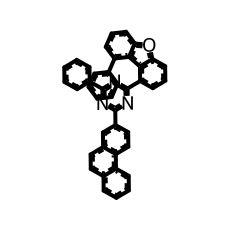 c1ccc(-c2nc(-c3ccc4c(ccc5ccccc54)c3)nc(-c3cccc4oc5cccc(-c6ccccc6)c5c34)n2)cc1